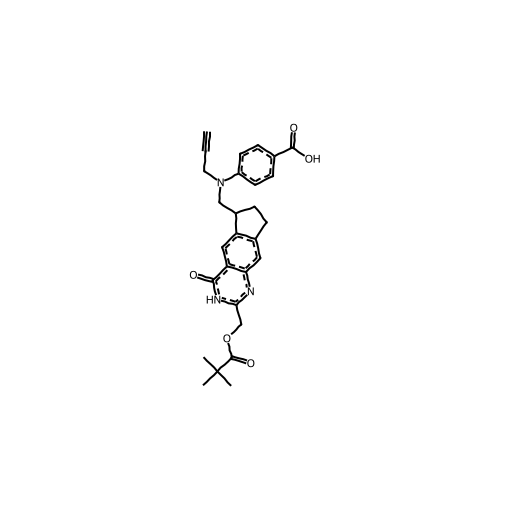 C#CCN(CC1CCc2cc3nc(COC(=O)C(C)(C)C)[nH]c(=O)c3cc21)c1ccc(C(=O)O)cc1